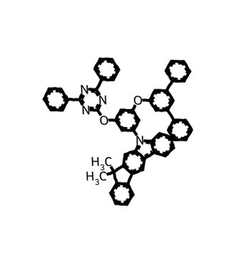 CC1(C)c2ccccc2-c2cc3c4ccccc4n(-c4cc(Oc5cc(-c6ccccc6)cc(-c6ccccc6)c5)cc(Oc5nc(-c6ccccc6)nc(-c6ccccc6)n5)c4)c3cc21